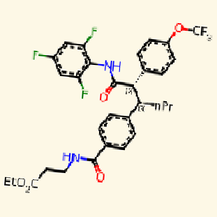 CCC[C@@H](c1ccc(C(=O)NCCC(=O)OCC)cc1)[C@H](C(=O)Nc1c(F)cc(F)cc1F)c1ccc(OC(F)(F)F)cc1